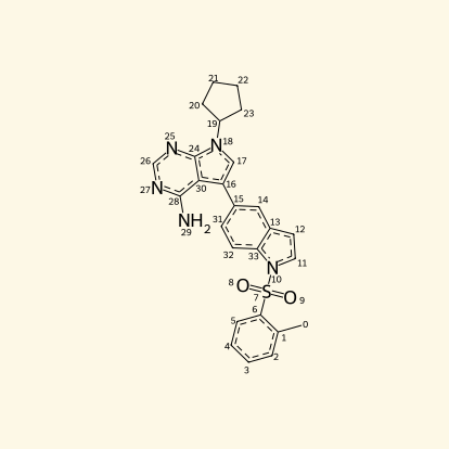 Cc1ccccc1S(=O)(=O)n1ccc2cc(-c3cn(C4CCCC4)c4ncnc(N)c34)ccc21